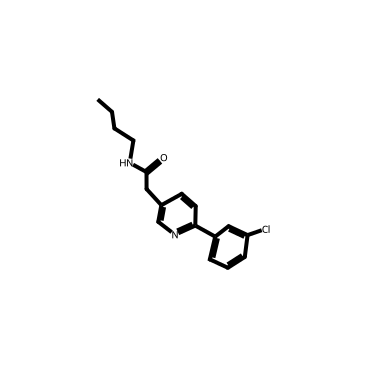 CCCCNC(=O)Cc1ccc(-c2cccc(Cl)c2)nc1